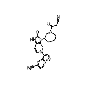 N#CCC(=O)N1CCCC(n2c3c([nH]c2=O)C=CN(c2cnn4ccc(C#N)cc24)C3)C1